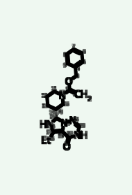 C=C(OCc1ccccc1)N1CCC[C@@H](C2NC(CC)=C3C(=O)NC=NN32)C1